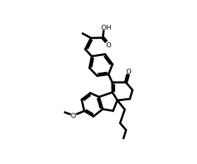 CCCCC12CCC(=O)C(c3ccc(C=C(C)C(=O)O)cc3)=C1c1ccc(OC)cc1C2